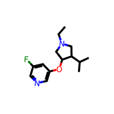 CCN1CC(Oc2cncc(F)c2)C(C(C)C)C1